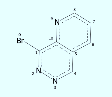 Brc1nncc2cccnc12